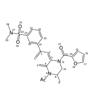 C=C(/C=C1\C(=C)N(C(C)=O)C(C)CN1C(=O)c1ccco1)c1cccc(S(=O)(=O)N(C)C)c1